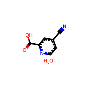 N#Cc1ccnc(C(=O)O)c1.O